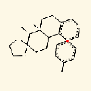 C[C@H]1[C@@H]2CCc3cncnc3[C@@]2(c2cccc(F)c2)CCC12OCCO2